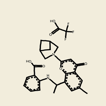 Cc1cc(C(C)Nc2ccccc2C(=O)O)c2oc(N3CC4CC(C4)C3)cc(=O)c2c1.O=C(O)C(F)(F)F